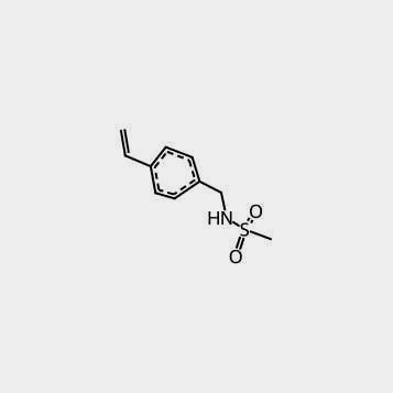 C=Cc1ccc(CNS(C)(=O)=O)cc1